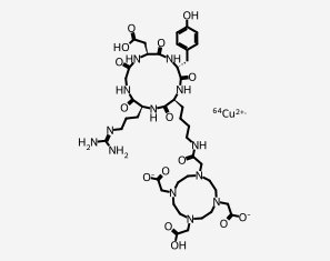 NC(N)=NCCC[C@@H]1NC(=O)[C@H](CCCCNC(=O)CN2CCN(CC(=O)[O-])CCN(CC(=O)O)CCN(CC(=O)[O-])CC2)NC(=O)[C@@H](Cc2ccc(O)cc2)NC(=O)[C@H](CC(=O)O)NC(=O)CNC1=O.[64Cu+2]